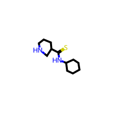 S=C(NC1CCCCC1)C1CCCNC1